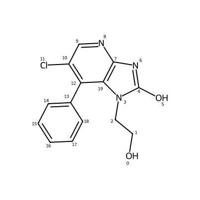 OCCn1c(O)nc2ncc(Cl)c(-c3ccccc3)c21